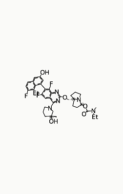 CCc1c(F)ccc2cc(O)cc(-c3c(F)cc4c(N5CCC[C@@](C)(O)C5)nc(OC[C@]56CCCN5[C@@H](OC(=O)N(C)CC)CC6)nc4c3F)c12